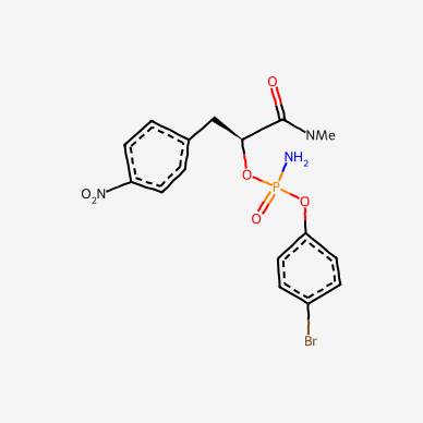 CNC(=O)[C@H](Cc1ccc([N+](=O)[O-])cc1)OP(N)(=O)Oc1ccc(Br)cc1